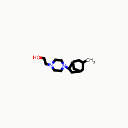 CC1CC2CC(C1)C(N1CCN(CCO)CC1)C2